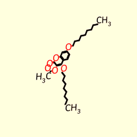 CCCCCCCCCCOc1ccc2c(OCCCCCCCCCC)c(OC(C)=O)c(=O)oc2c1